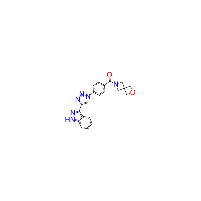 O=C(c1ccc(-n2cc(-c3n[nH]c4ccccc34)nn2)cc1)N1CC2(COC2)C1